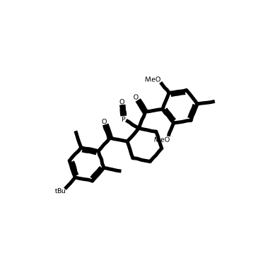 COc1cc(C)cc(OC)c1C(=O)C1(P=O)CCCCC1C(=O)c1c(C)cc(C(C)(C)C)cc1C